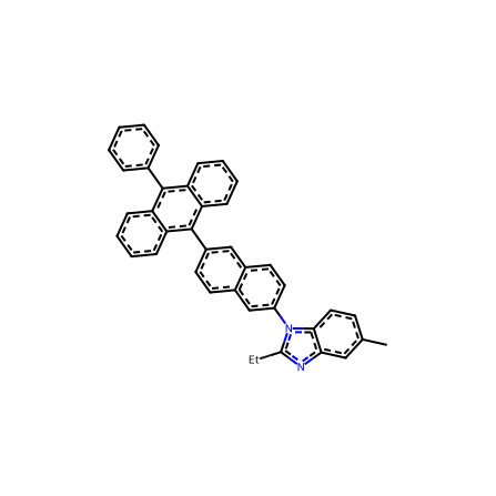 CCc1nc2cc(C)ccc2n1-c1ccc2cc(-c3c4ccccc4c(-c4ccccc4)c4ccccc34)ccc2c1